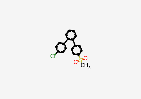 CS(=O)(=O)c1ccc(-c2cc[c]cc2-c2ccc(Cl)cc2)cc1